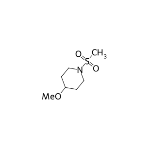 COC1CCN(S(C)(=O)=O)CC1